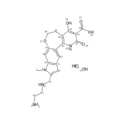 Cl.Cl.Cn1c(CNCCN)cc2cc3c(cc21)OCCc1c-3[nH]c(=O)c(C(=O)O)c1O